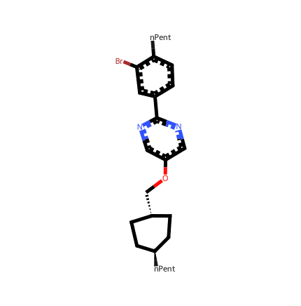 CCCCCc1ccc(-c2ncc(OC[C@H]3CC[C@H](CCCCC)CC3)cn2)cc1Br